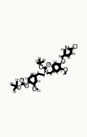 COc1cc(CN(CCc2ccc(OC(=O)OC(C)(C)C)c(OC)c2)C(=O)OC(C)(C)C)ccc1OCc1ccc(Cl)nc1